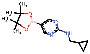 CC1(C)OB(c2cnc(NCC3CC3)nc2)OC1(C)C